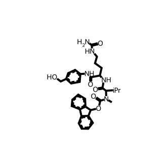 CC(C)C(C(=O)NC(CCCNC(N)=O)C(=O)Nc1ccc(CO)cc1)N(C)C(=O)OC1c2ccccc2-c2ccccc21